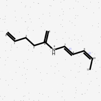 C=CCCC(=C)N/C=C/C=C\C